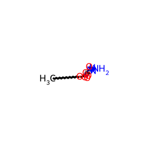 CCCCCCCCCCCCCCCCOCCOP1(=O)CO[C@@H](Cn2cnc(N)nc2=O)CO1